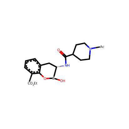 CCOC(=O)c1cccc2c1OB(O)[C@@H](NC(=O)C1CCN(C(C)=O)CC1)C2